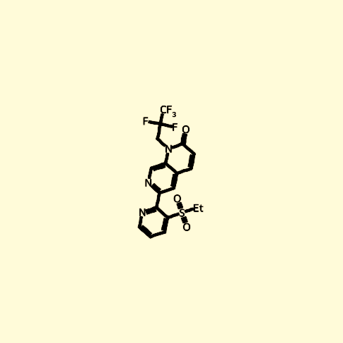 CCS(=O)(=O)c1cccnc1-c1cc2ccc(=O)n(CC(F)(F)C(F)(F)F)c2cn1